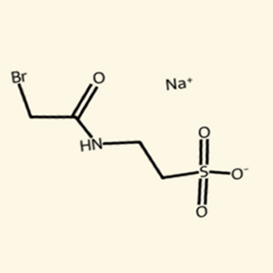 O=C(CBr)NCCS(=O)(=O)[O-].[Na+]